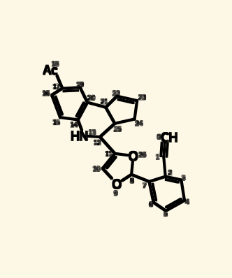 C#Cc1ccccc1C1OC=C(C2Nc3ccc(C(C)=O)cc3C3C=CCC23)O1